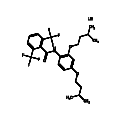 CC(C)CCOc1ccc(PC(=O)c2c(C(F)(F)F)cccc2C(F)(F)F)c(OCCC(C)C)c1.[LiH]